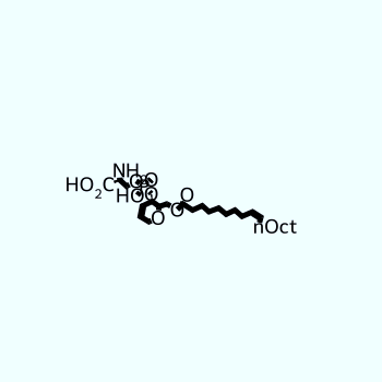 CCCCCCCC/C=C\CCCCCCCC(=O)OCC1OCC=C[C@@H]1OP(=O)(O)OC[C@H](N)C(=O)O